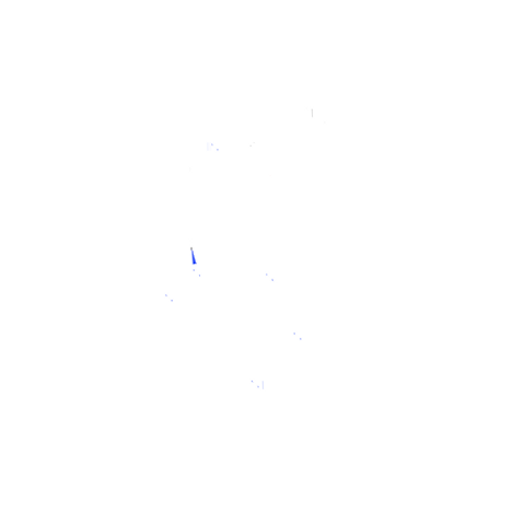 C=CC(=O)N[C@H]1CC[C@H](n2nc(I)c3c(N)ncnc32)C1